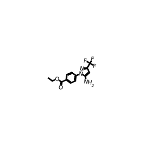 CCOC(=O)c1ccc(-n2nc(C(F)(F)F)cc2N)cc1